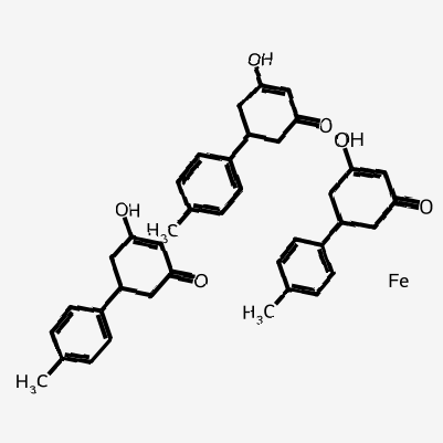 Cc1ccc(C2CC(=O)C=C(O)C2)cc1.Cc1ccc(C2CC(=O)C=C(O)C2)cc1.Cc1ccc(C2CC(=O)C=C(O)C2)cc1.[Fe]